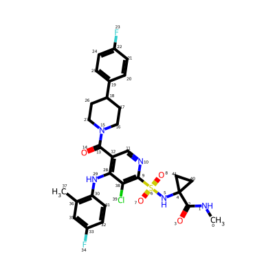 CNC(=O)C1(NS(=O)(=O)c2ncc(C(=O)N3CCC(c4ccc(F)cc4)CC3)c(Nc3ccc(F)cc3C)c2Cl)CC1